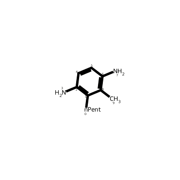 CCCCCc1c(N)ccc(N)c1C